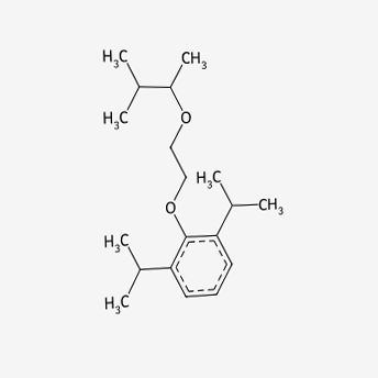 CC(C)c1cccc(C(C)C)c1OCCOC(C)C(C)C